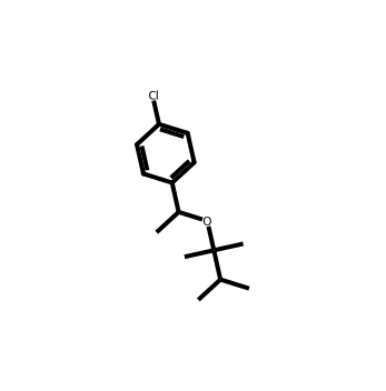 CC(OC(C)(C)C(C)C)c1ccc(Cl)cc1